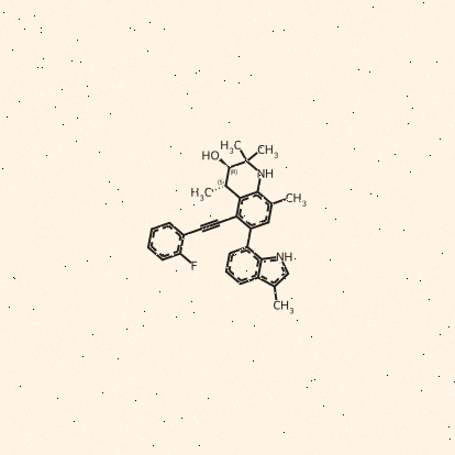 Cc1cc(-c2cccc3c(C)c[nH]c23)c(C#Cc2ccccc2F)c2c1NC(C)(C)[C@H](O)[C@H]2C